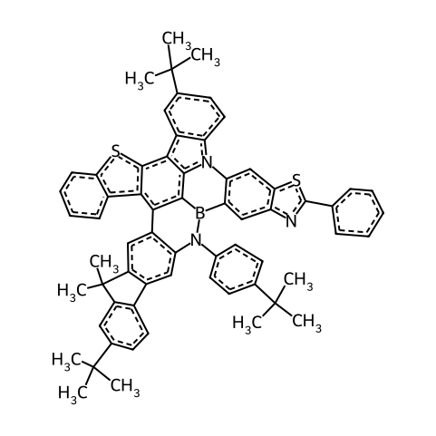 CC(C)(C)c1ccc(N2B3c4cc5nc(-c6ccccc6)sc5cc4-n4c5ccc(C(C)(C)C)cc5c5c6sc7ccccc7c6c(c3c54)-c3cc4c(cc32)-c2ccc(C(C)(C)C)cc2C4(C)C)cc1